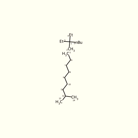 CCCCC(C)(CC)CC.CCCCCCCC(C)C